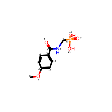 COc1ccc(C(=O)NCP(=O)(O)O)cc1